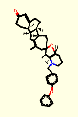 CC1=C2C[C@H]3[C@@H](CCC4=CC(=O)CC[C@@]43C)[C@@H]2CC[C@@]2(C1)O[C@@H]1CCCN(Cc3ccc(Oc4ccccc4)cc3)[C@H]1[C@H]2C